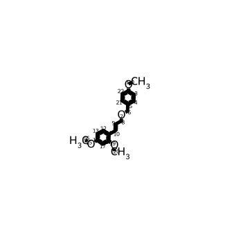 COc1ccc(COCC=Cc2ccc(OC)cc2OC)cc1